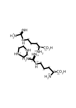 C1CNCCN1.N=C(N)NCCC[C@H](N)C(=O)O.N=C(N)NCCC[C@H](N)C(=O)O